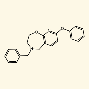 c1ccc(CN2CCOc3nc(Oc4ccccc4)ccc3C2)cc1